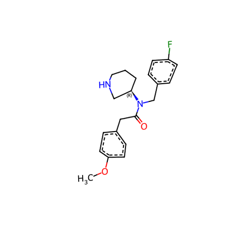 COc1ccc(CC(=O)N(Cc2ccc(F)cc2)[C@@H]2CCCNC2)cc1